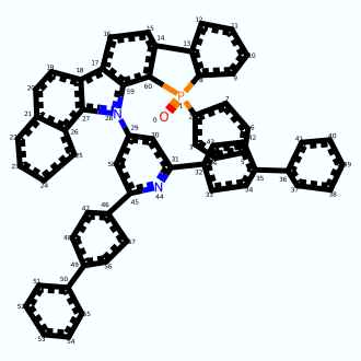 O=P1(c2ccccc2)c2ccccc2-c2ccc3c4ccc5ccccc5c4n(-c4cc(-c5ccc(-c6ccccc6)cc5)nc(-c5ccc(-c6ccccc6)cc5)c4)c3c21